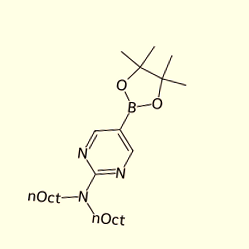 CCCCCCCCN(CCCCCCCC)c1ncc(B2OC(C)(C)C(C)(C)O2)cn1